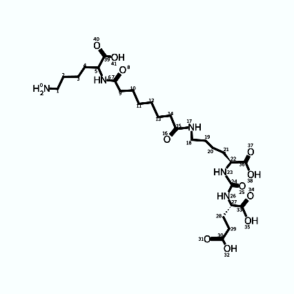 NCCCCC(NC(=O)CCCCCCC(=O)NCCCC[C@H](NC(=O)N[C@@H](CCC(=O)O)C(=O)O)C(=O)O)C(=O)O